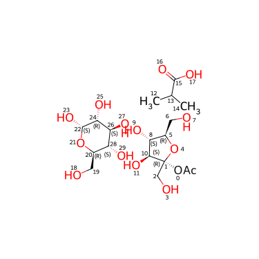 CC(=O)O[C@@]1(CO)O[C@H](CO)[C@@H](O)[C@@H]1O.CC(C)C(=O)O.OC[C@H]1O[C@H](O)[C@H](O)[C@@H](O)[C@@H]1O